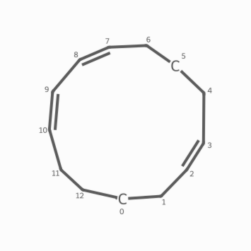 [CH]1CC=CCCCC=CC=CCC1